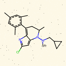 CCCN(CC1CC1)N1C2=CC(Cl)=NC2=C(c2c(C)cc(C)cc2C)CC1C